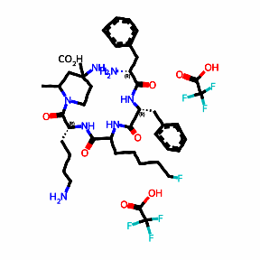 CC1CC(N)(C(=O)O)CCN1C(=O)[C@@H](CCCCN)NC(=O)C(CCCCCF)NC(=O)[C@@H](Cc1ccccc1)NC(=O)[C@H](N)Cc1ccccc1.O=C(O)C(F)(F)F.O=C(O)C(F)(F)F